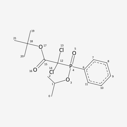 CC(C)OP(=O)(c1ccccc1)C(Cl)(Cl)C(=O)OC(C)(C)C